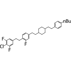 CCCCc1ccc(CCC2CCC(CCc3ccc(CCc4cc(F)c(Cl)c(F)c4)c(F)c3)CC2)cc1